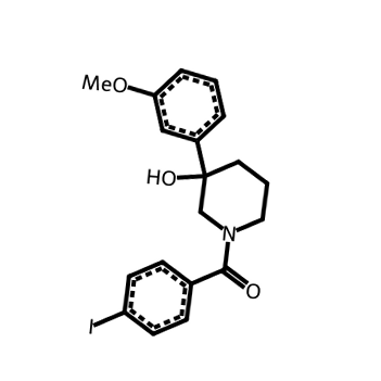 COc1cccc(C2(O)CCCN(C(=O)c3ccc(I)cc3)C2)c1